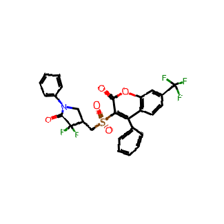 O=C1N(c2ccccc2)CC(CS(=O)(=O)c2c(-c3ccccc3)c3ccc(C(F)(F)F)cc3oc2=O)C1(F)F